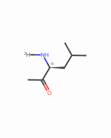 [2H]N[C@@H](CC(C)C)C(C)=O